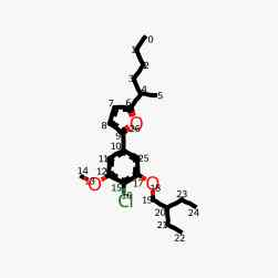 CCCCC(C)c1ccc(-c2cc(OC)c(Cl)c(OCC(CC)CC)c2)o1